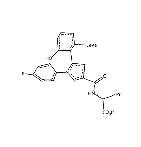 COc1cccc(O)c1-c1cc(C(=O)NC(C(=O)O)C(C)C)nn1C1=C=C=C(F)C=C1